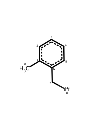 Cc1ccccc1CC(C)C